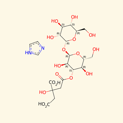 O=C(O)CC(O)(CC(=O)O[C@@H]1[C@@H](O)[C@@H](O[C@H]2O[C@H](CO)[C@@H](O)[C@H](O)[C@H]2O)O[C@H](CO)[C@H]1O)C(=O)O.c1c[nH]cn1